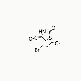 O=C=C1CSC(=O)N1.[O]CCCBr